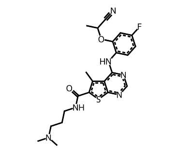 Cc1c(C(=O)NCCCN(C)C)sc2ncnc(Nc3ccc(F)cc3OC(C)C#N)c12